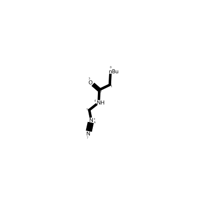 CCCCCC(=O)NC[N+]#N